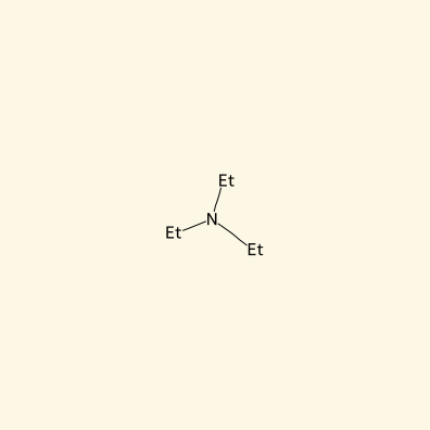 [CH2]CN(CC)CC